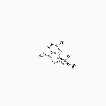 COC(=O)c1ccc(Cl)cc1N(C)C(=O)OC(C)C